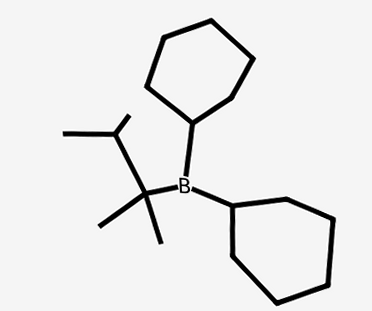 CC(C)C(C)(C)B(C1CCCCC1)C1CCCCC1